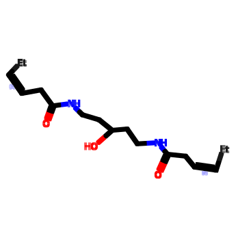 CC/C=C\CC(=O)NCCC(O)CCNC(=O)C/C=C\CC